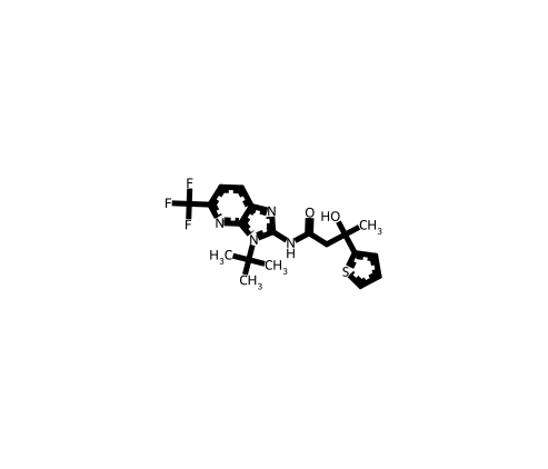 CC(O)(CC(=O)Nc1nc2ccc(C(F)(F)F)nc2n1C(C)(C)C)c1cccs1